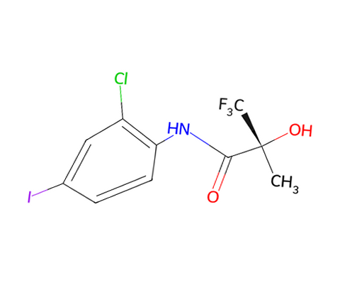 C[C@@](O)(C(=O)Nc1ccc(I)cc1Cl)C(F)(F)F